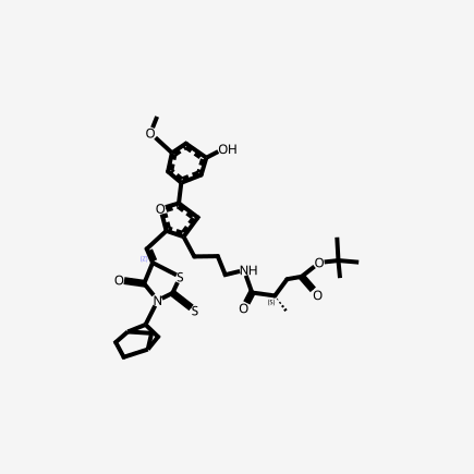 COc1cc(O)cc(-c2cc(CCCNC(=O)[C@@H](C)CC(=O)OC(C)(C)C)c(/C=C3\SC(=S)N(C4CC5CCC4C5)C3=O)o2)c1